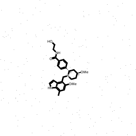 COc1cc(C)c2[nH]ccc2c1CN1CC[C@H](OC)C[C@H]1c1ccc(C(=O)NCCO)cc1